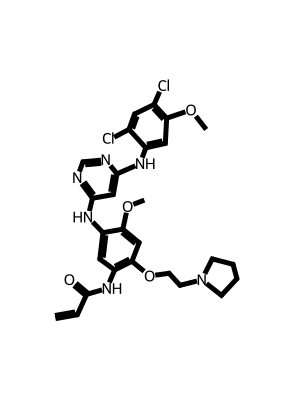 C=CC(=O)Nc1cc(Nc2cc(Nc3cc(OC)c(Cl)cc3Cl)ncn2)c(OC)cc1OCCN1CCCC1